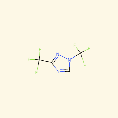 FC(F)(F)c1ncn(C(F)(F)F)n1